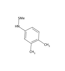 CSNc1ccc(C)c(C)c1